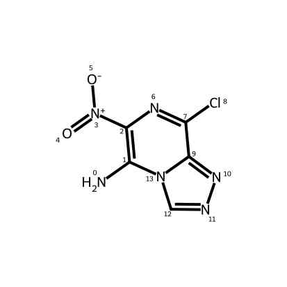 Nc1c([N+](=O)[O-])nc(Cl)c2nncn12